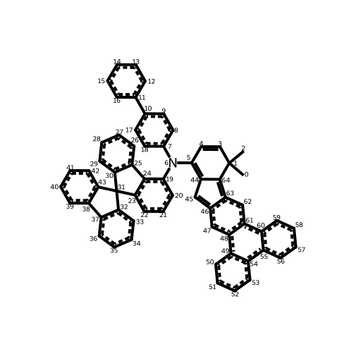 CC1(C)C=CC(N(c2ccc(-c3ccccc3)cc2)c2cccc3c2-c2ccccc2C32c3ccccc3-c3ccccc32)=C2C=c3cc4c5ccccc5c5ccccc5c4cc3=C21